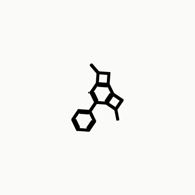 CC1Cc2c1[c]c(-c1ccccc1)c1c2CC1C